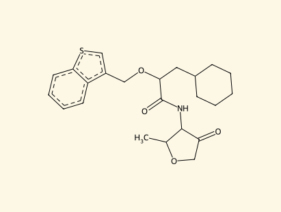 CC1OCC(=O)C1NC(=O)C(CC1CCCCC1)OCc1csc2ccccc12